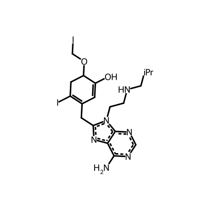 CC(C)CNCCn1c(CC2=C(I)CC(OCI)C(O)=C2)nc2c(N)ncnc21